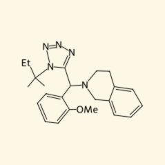 CCC(C)(C)n1nnnc1C(c1ccccc1OC)N1CCc2ccccc2C1